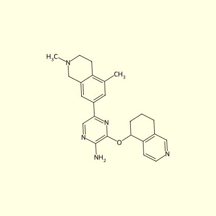 Cc1cc(-c2cnc(N)c(OC3CCCc4cnccc43)n2)cc2c1CCN(C)C2